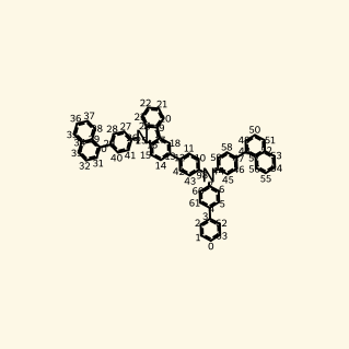 c1ccc(-c2ccc(N(c3ccc(-c4ccc5c(c4)c4ccccc4n5-c4ccc(-c5cccc6ccccc56)cc4)cc3)c3ccc(-c4cccc5ccccc45)cc3)cc2)cc1